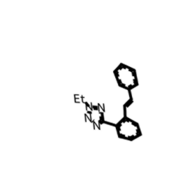 CCn1nnc(-c2ccccc2/C=C/c2ccccc2)n1